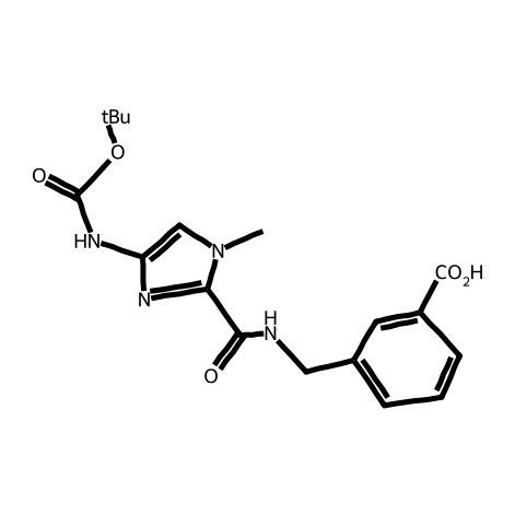 Cn1cc(NC(=O)OC(C)(C)C)nc1C(=O)NCc1cccc(C(=O)O)c1